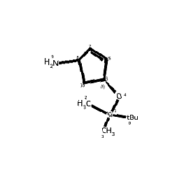 CC(C)(C)[Si](C)(C)O[C@@H]1C=CC(N)C1